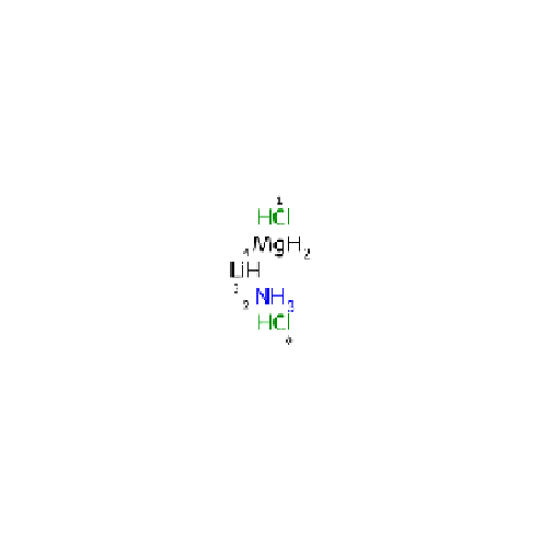 Cl.Cl.N.[LiH].[MgH2]